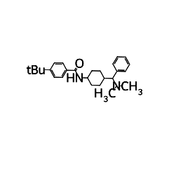 CN(C)C(c1ccccc1)C1CCC(NC(=O)c2ccc(C(C)(C)C)cc2)CC1